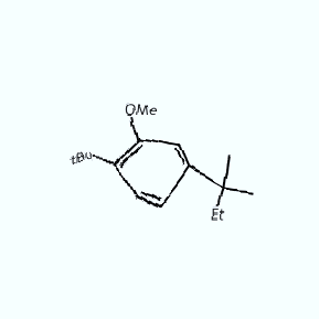 CCC(C)(C)c1ccc(C(C)(C)C)c(OC)c1